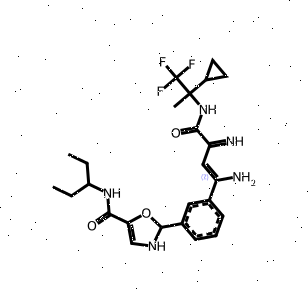 CCC(CC)NC(=O)C1=CNC(c2cccc(/C(N)=C/C(=N)C(=O)NC(C)(C3CC3)C(F)(F)F)c2)O1